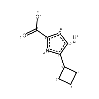 O=C([O-])c1nc(C2CCC2)cs1.[Li+]